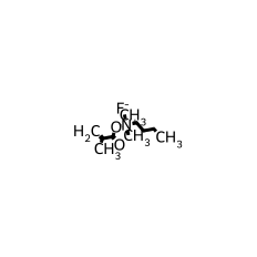 C=C(C)C(=O)O[N+](C)(C)CCCC.[F-]